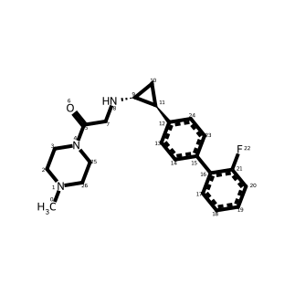 CN1CCN(C(=O)CN[C@@H]2C[C@H]2c2ccc(-c3ccccc3F)cc2)CC1